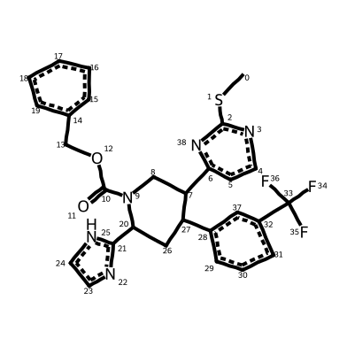 CSc1nccc(C2CN(C(=O)OCc3ccccc3)C(c3ncc[nH]3)CC2c2cccc(C(F)(F)F)c2)n1